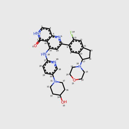 O=c1[nH]ccc2nc(-c3cc4c(cc3F)CCC4N3CCOCC3)cc(Nc3ccc(N4CCC(O)CC4)cn3)c12